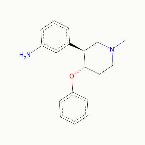 CN1CC[C@H](Oc2ccccc2)[C@@H](c2cccc(N)c2)C1